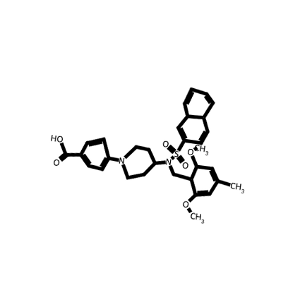 COC1=CC(C)=CC(OC)C1CN(C1CCN(c2ccc(C(=O)O)cc2)CC1)S(=O)(=O)C1=CC2C=CC=CC2C=C1